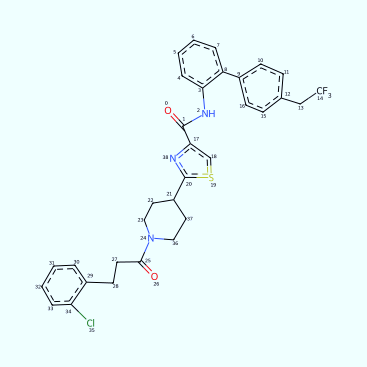 O=C(Nc1ccccc1-c1ccc(CC(F)(F)F)cc1)c1csc(C2CCN(C(=O)CCc3ccccc3Cl)CC2)n1